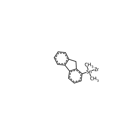 [CH3][Sn]([CH3])([Zr])[c]1cccc2c1Cc1ccccc1-2